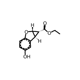 CCOC(=O)[C@H]1[C@H]2Oc3ccc(O)cc3[C@@H]21